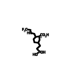 O=C(O)[C@H]1CC(CCB(O)O)CCC1CNCC(F)(F)F